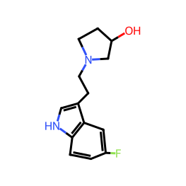 OC1CCN(CCc2c[nH]c3ccc(F)cc23)C1